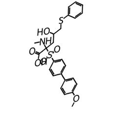 CNC(CC(O)CSc1ccccc1)(C(=O)O)S(=O)(=O)c1ccc(-c2ccc(OC)cc2)cc1